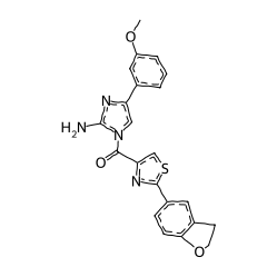 COc1cccc(-c2cn(C(=O)c3csc(-c4ccc5c(c4)CCO5)n3)c(N)n2)c1